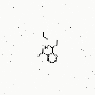 CCCCC(CC)c1ncccc1C(=O)O